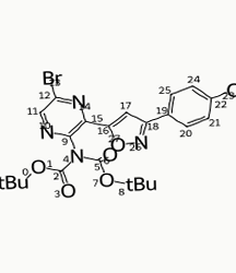 CC(C)(C)OC(=O)N(C(=O)OC(C)(C)C)c1ncc(Br)nc1-c1cc(-c2ccc(C#N)cc2)no1